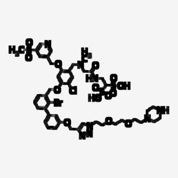 CN(CC(=O)NCC(S(=O)(=O)O)S(=O)(=O)O)Cc1cc(Cl)c(OCc2cccc(-c3cccc(OCc4cn(CCOCCOCCN5CCNCC5)nn4)c3)c2Br)cc1OCc1cncc(S(C)(=O)=O)c1